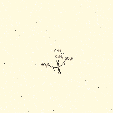 O=S(=O)(O)OS(=O)(=O)OS(=O)(=O)O.[CaH2].[CaH2]